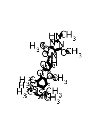 CNc1nc(OC)c(NC(=O)c2ccc(Oc3c(OC)cc4c(c3C)[Si](C)(C)CC[Si]4(C)C)o2)c(OC)n1